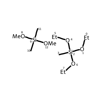 CCO[Si](C)(OCC)OCC.CO[Si](C)(C)OC